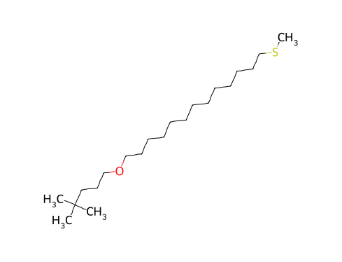 CSCCCCCCCCCCCCCOCCCC(C)(C)C